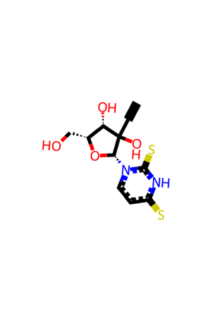 C#CC1(O)[C@@H](O)[C@@H](CO)O[C@H]1n1ccc(=S)[nH]c1=S